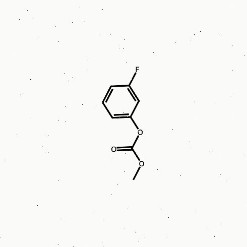 COC(=O)Oc1cccc(F)c1